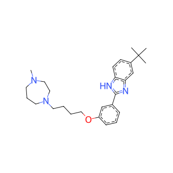 CN1CCCN(CCCCOc2cccc(-c3nc4cc(C(C)(C)C)ccc4[nH]3)c2)CC1